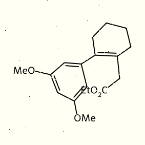 CCOC(=O)CC1=C(c2cc(OC)cc(OC)c2)CCCC1